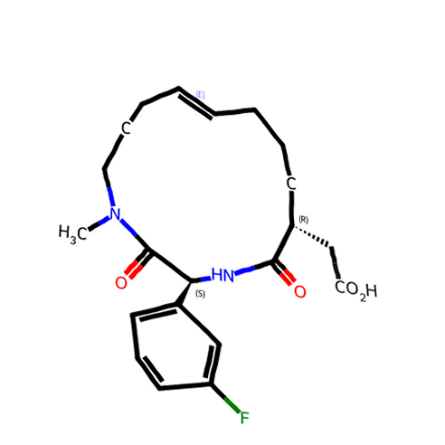 CN1CCC/C=C/CCC[C@H](CC(=O)O)C(=O)N[C@@H](c2cccc(F)c2)C1=O